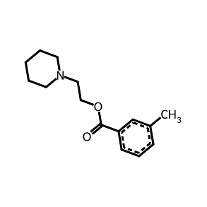 Cc1cccc(C(=O)OCCN2CCCCC2)c1